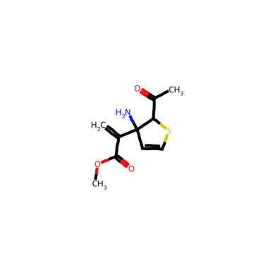 C=C(C(=O)OC)C1(N)C=CSC1C(C)=O